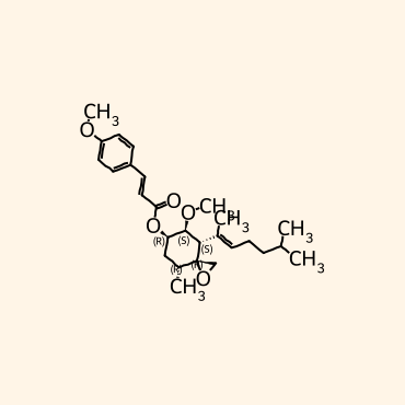 COc1ccc(C=CC(=O)O[C@@H]2C[C@@H](C)[C@]3(CO3)[C@@H](C(C)=CCCC(C)C)[C@@H]2OC)cc1